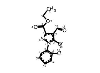 CCOC(=O)c1nn(-c2ccccc2Cl)c(Br)c1C=O